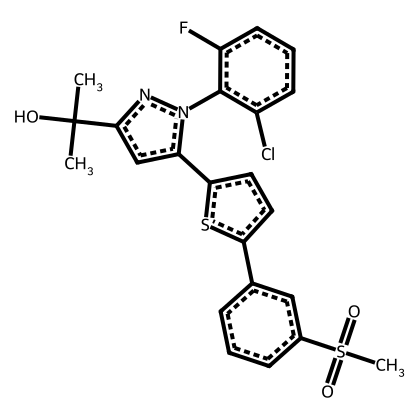 CC(C)(O)c1cc(-c2ccc(-c3cccc(S(C)(=O)=O)c3)s2)n(-c2c(F)cccc2Cl)n1